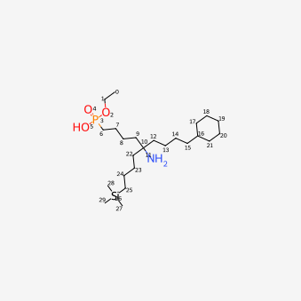 CCOP(=O)(O)CCCCC(N)(CCCCC1CCCCC1)CCCC[Si](C)(C)C